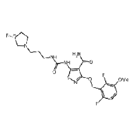 COc1ccc(F)c(COc2nsc(NC(=O)NCCCN3CC[C@@H](F)C3)c2C(N)=O)c1F